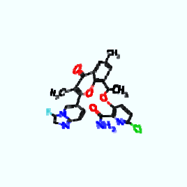 Cc1cc([C@@H](C)Oc2ccc(Cl)nc2C(N)=O)c2oc(-c3ccc4ncc(F)n4c3)c(C)c(=O)c2c1